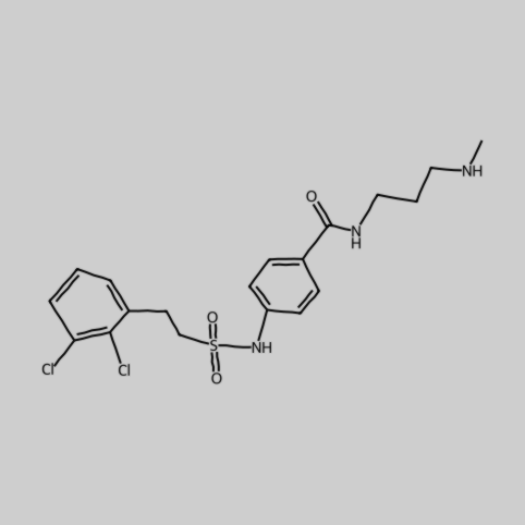 CNCCCNC(=O)c1ccc(NS(=O)(=O)CCc2cccc(Cl)c2Cl)cc1